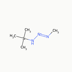 CN=[N+]N[Si](C)(C)C